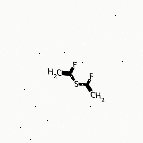 C=C(F)SC(=C)F